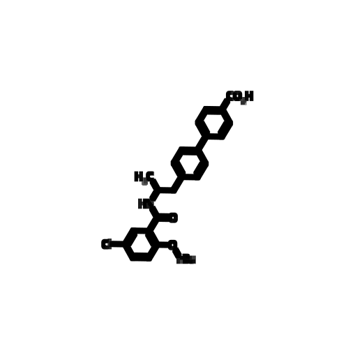 CCCCOc1ccc(Cl)cc1C(=O)NC(C)Cc1ccc(-c2ccc(C(=O)O)cc2)cc1